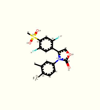 Cc1cc(-n2c(-c3cc(F)c(S(C)(=O)=O)cc3F)coc2=O)ccc1C(F)(F)F